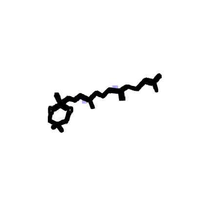 CC(C)=CCC/C(C)=C/CC/C(C)=C/CCC1(C)OCC(C)(C)CO1